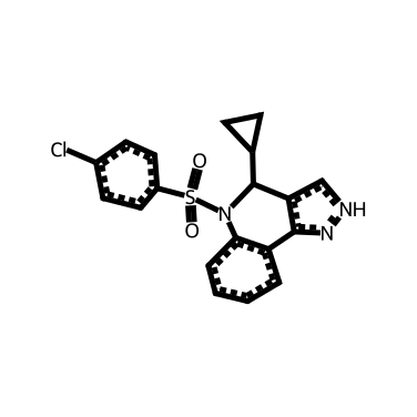 O=S(=O)(c1ccc(Cl)cc1)N1c2ccccc2-c2n[nH]cc2C1C1CC1